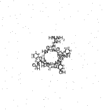 CC(=O)N[C@@H](Cc1ccccc1)C(=O)N[C@H]1CCCNC(=O)C(CCCNC(=N)N)NC(=O)C(Cc2c[nH]c3ccccc23)NC(=O)[C@@H](Cc2ccc(O)cc2)NC(=O)C2CCCN2C1=O